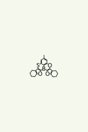 Cc1cc2c3c(c1)Sc1c(oc4c1CCCC4)B3c1oc3c(c1O2)CCCC3